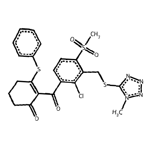 Cn1nnnc1SCc1c(S(C)(=O)=O)ccc(C(=O)C2=C(Sc3ccccc3)CCCC2=O)c1Cl